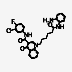 Nc1ccccc1NC(=O)CCCCCn1cc(C(=O)Nc2ccc(F)c(Cl)c2)c(=O)c2ccccc21